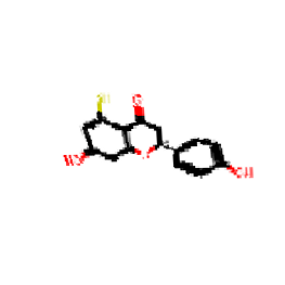 O=C1C[C@@H](c2ccc(O)cc2)OC2CC(O)CC(S)C12